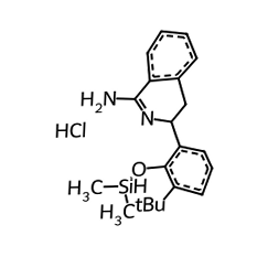 C[SiH](C)Oc1c(C2Cc3ccccc3C(N)=N2)cccc1C(C)(C)C.Cl